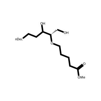 CCCCCCCCCCCCC(O)[C@H](CO)OCCCCC(=O)OC